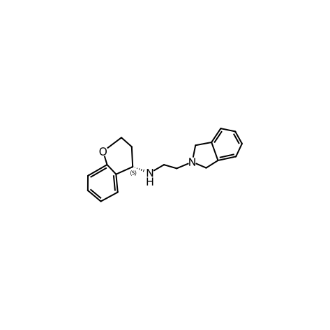 c1ccc2c(c1)CN(CCN[C@H]1CCOc3ccccc31)C2